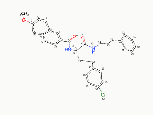 COc1ccc2cc(C(=O)N[C@@H](CCc3ccc(Cl)cc3)C(=O)NCCCc3ccccc3)ccc2c1